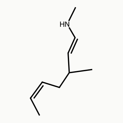 C/C=C\CC(C)/C=C/NC